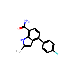 Cc1cc2c(-c3ccc(F)cc3)ccc(C(N)=O)c2[nH]1